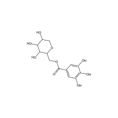 O=C(OCC1OCC(O)C(O)C1O)c1cc(O)c(O)c(O)c1